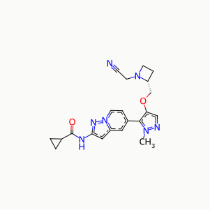 Cn1ncc(OC[C@H]2CCN2CC#N)c1-c1ccn2nc(NC(=O)C3CC3)cc2c1